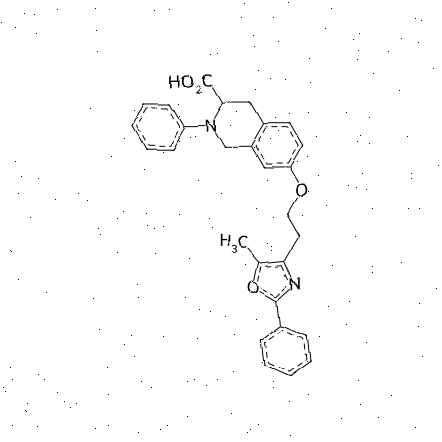 Cc1oc(-c2ccccc2)nc1CCOc1ccc2c(c1)CN(c1ccccc1)C(C(=O)O)C2